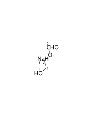 O=COCCO.[NaH]